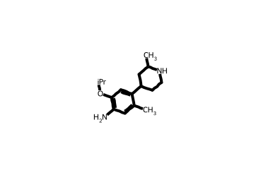 Cc1cc(N)c(OC(C)C)cc1C1CCNC(C)C1